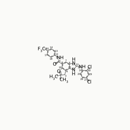 CC1(C)Cc2c3c(cc(C(=O)Nc4ccc(C(F)(F)F)cc4)c2O1)NC(Nc1ccc(Cl)cc1Cl)N3